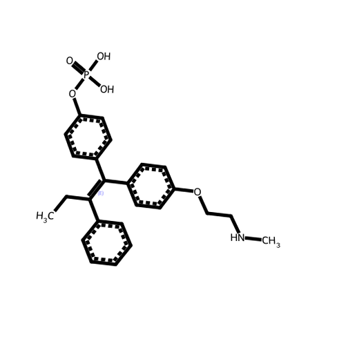 CC/C(=C(/c1ccc(OCCNC)cc1)c1ccc(OP(=O)(O)O)cc1)c1ccccc1